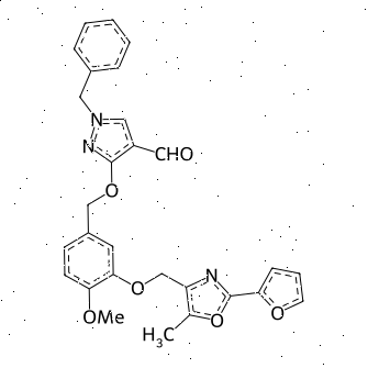 COc1ccc(COc2nn(Cc3ccccc3)cc2C=O)cc1OCc1nc(-c2ccco2)oc1C